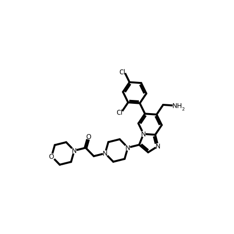 NCc1cc2ncc(N3CCN(CC(=O)N4CCOCC4)CC3)n2cc1-c1ccc(Cl)cc1Cl